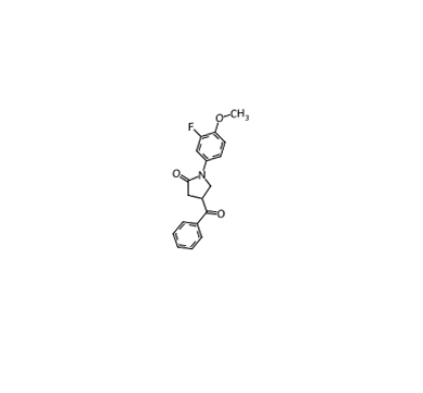 COc1ccc(N2CC(C(=O)c3ccccc3)CC2=O)cc1F